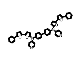 c1ccc(-c2ccc(-c3ccc(N(c4ccncc4)c4ccc(-c5ccc(N(c6ccncc6)c6ccc(-c7ccc(-c8ccccc8)o7)o6)cc5)cc4)o3)o2)cc1